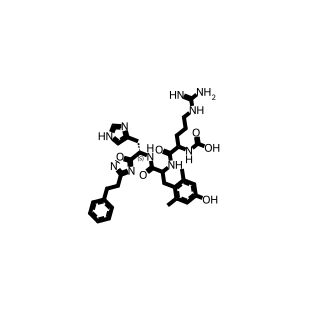 Cc1cc(O)cc(C)c1CC(NC(=O)C(CCCNC(=N)N)NC(=O)O)C(=O)N[C@@H](Cc1c[nH]cn1)c1nc(CCc2ccccc2)no1